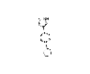 c1cc(N2CCCC2)ccc1-c1cn[nH]c1